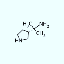 CC(C)(N)[C@H]1CCNC1